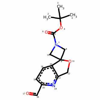 CC(C)(C)OC(=O)N1CC2(C1)OCc1nc(C=O)ccc12